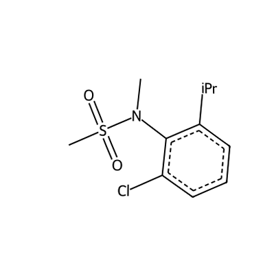 CC(C)c1cccc(Cl)c1N(C)S(C)(=O)=O